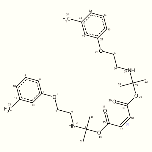 CC(C)(NCCOc1cccc(C(F)(F)F)c1)OC(=O)/C=C\C(=O)OC(C)(C)NCCOc1cccc(C(F)(F)F)c1